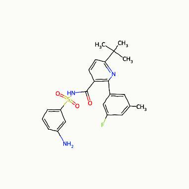 Cc1cc(F)cc(-c2nc(C(C)(C)C)ccc2C(=O)NS(=O)(=O)c2cccc(N)c2)c1